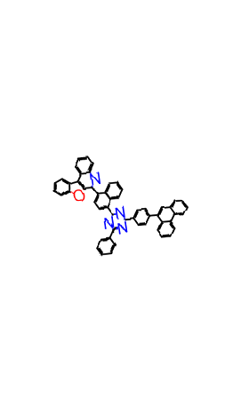 c1ccc(-c2nc(-c3ccc(-c4cc5ccccc5c5ccccc45)cc3)nc(-c3ccc(-c4nc5ccccc5c5c4oc4ccccc45)c4ccccc34)n2)cc1